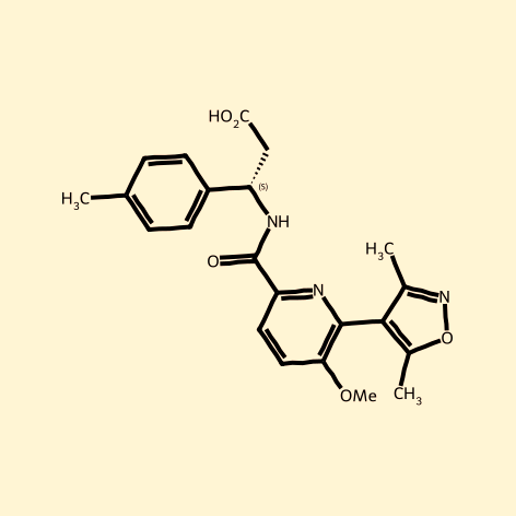 COc1ccc(C(=O)N[C@@H](CC(=O)O)c2ccc(C)cc2)nc1-c1c(C)noc1C